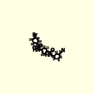 N#Cc1cccc(NC(=O)c2ccc(NS(=O)(=O)c3ccc(Br)cc3)cc2)c1